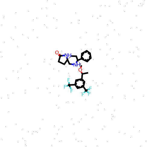 CC(OC[C@@]1(c2ccccc2)CC[C@@]2(CCC(=O)N2)CN1)c1cc(C(F)(F)F)cc(C(F)(F)F)c1